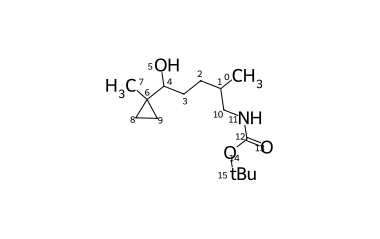 CC(CCC(O)C1(C)CC1)CNC(=O)OC(C)(C)C